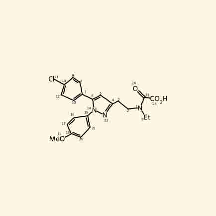 CCN(CCc1cc(-c2ccc(Cl)cc2)n(-c2ccc(OC)cc2)n1)C(=O)C(=O)O